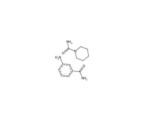 NC(=O)N1CCCCC1.NC(=O)c1cccc(N)c1